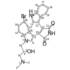 CN(C)CC(O)Cn1cc(C2=C(c3c[nH]c4ccccc34)C(=O)NC2=O)c2cc(Br)ccc21